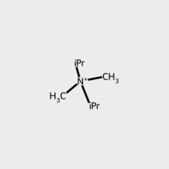 CC(C)[N+](C)(C)C(C)C